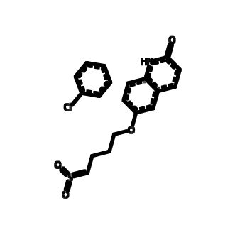 Clc1ccccc1.O=c1ccc2cc(OCCCC=S(=O)=O)ccc2[nH]1